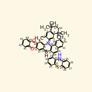 Cc1cc2c(cc1N1c3cc4c(cc3Bc3c(-c5cccc6c5Nc5ccccc5S6)cc5ccccc5c31)Oc1ccccc1O4)C(C)(C)CCC2(C)C